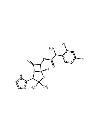 CC1(C)S[C@H]2C(NC(=O)C(N)c3ccc(Cl)cc3Cl)C(=O)N2C1c1nnn[nH]1